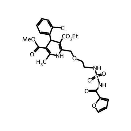 CCOC(=O)C1=C(COCCNS(=O)(=O)NC(=O)c2ccco2)NC(C)=C(C(=O)OC)C1c1ccccc1Cl